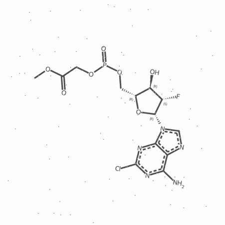 COC(=O)CO[P](=O)OC[C@H]1O[C@@H](n2cnc3c(N)nc(Cl)nc32)[C@@H](F)[C@@H]1O